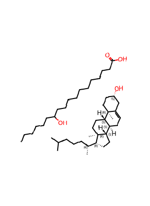 CC(C)CCC[C@@H](C)[C@H]1CC[C@H]2[C@@H]3CC=C4C[C@@H](O)CC[C@]4(C)[C@H]3CC[C@]12C.CCCCCCC(O)CCCCCCCCCCC(=O)O